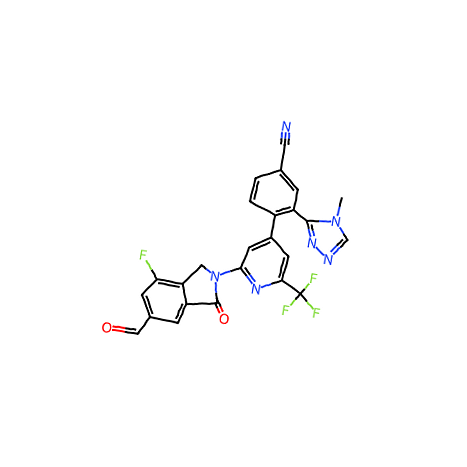 Cn1cnnc1-c1cc(C#N)ccc1-c1cc(N2Cc3c(F)cc(C=O)cc3C2=O)nc(C(F)(F)F)c1